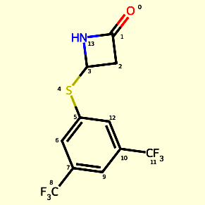 O=C1CC(Sc2cc(C(F)(F)F)cc(C(F)(F)F)c2)N1